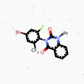 CC(C)n1c(=O)n(-c2c(F)cc(Br)cc2C(F)(F)F)c(=O)c2ccccc21